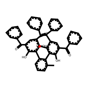 Cc1cccc(-c2c(O)c(C(=O)c3ccccc3)cc(C(=O)c3ccccc3)c2O)c1-c1c(O)c(C(=O)c2ccccc2)cc(C(=O)c2ccccc2)c1O